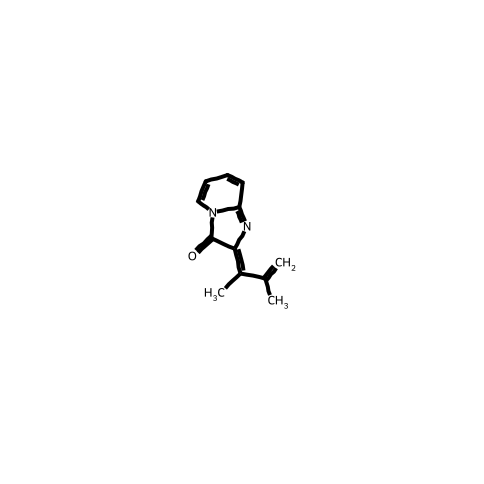 C=C(C)/C(C)=C1\N=C2C=CC=CN2C1=O